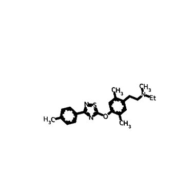 CCN(C)CCc1cc(C)c(Oc2nc(-c3ccc(C)cc3)ns2)cc1C